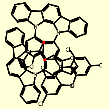 Clc1cc(Cl)c(B(c2cc(-n3c4ccccc4c4ccc5c6ccccc6n(-c6ccc7occc7c6)c5c43)cc(-n3c4ccccc4c4ccc5c6ccccc6n(-c6ccc7occc7c6)c5c43)c2)c2c(Cl)cc(Cl)cc2Cl)c(Cl)c1